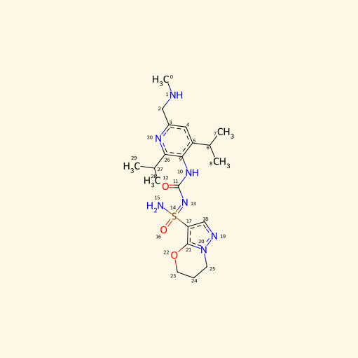 CNCc1cc(C(C)C)c(NC(=O)N=S(N)(=O)c2cnn3c2OCCC3)c(C(C)C)n1